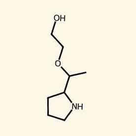 CC(OCCO)C1CCCN1